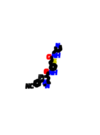 CC(C)C(Cc1cncn1Cc1ccc(C#N)cc1)C(=O)Nc1ccc2sc(C(=O)NCc3cccnc3)cc2c1